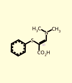 CN(C)/C=C(\Sc1ccccc1)C(=O)O